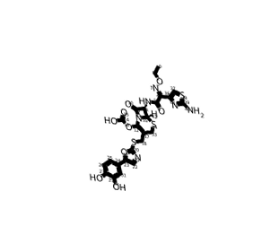 CCON=C(C(=O)N[C@@H]1C(=O)N2C(OC(=O)O)=C(CSc3ncc(-c4ccc(O)c(O)c4)o3)CS[C@@H]12)c1csc(N)n1